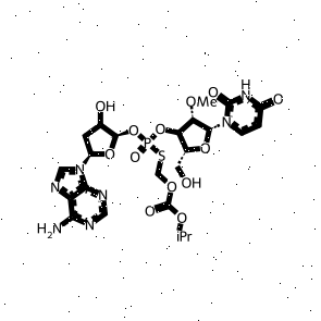 CO[C@H]1C(OP(=O)(O[C@H]2O[C@@H](n3cnc4c(N)ncnc43)CC2O)SCOC(=O)OC(C)C)[C@@H](CO)O[C@H]1n1ccc(=O)[nH]c1=O